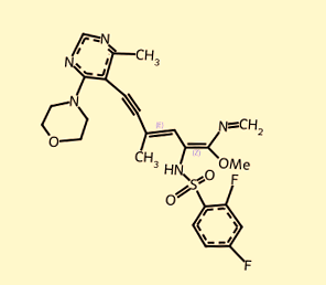 C=N/C(OC)=C(\C=C(/C)C#Cc1c(C)ncnc1N1CCOCC1)NS(=O)(=O)c1ccc(F)cc1F